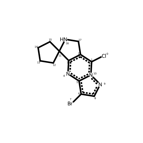 Clc1c2c(nc3c(Br)cnn13)C1(CCCC1)NC2